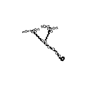 CCCCCCCCC(CCCCCCCC)OC(=O)CCCCCCCOC[C@@H](COCCOCCOCCOCCOCc1ccccc1)OCCCCCCCC(=O)OC(CCCCCCCC)CCCCCCCC